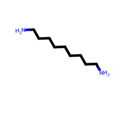 N[CH]CCCCCCCCN